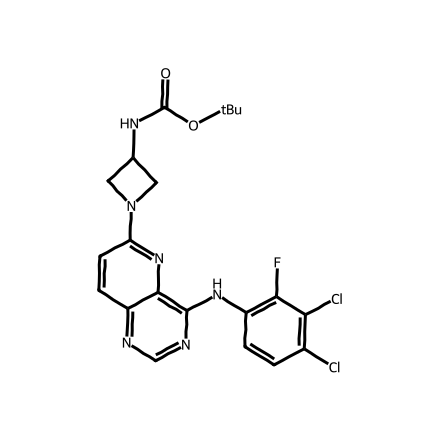 CC(C)(C)OC(=O)NC1CN(c2ccc3ncnc(Nc4ccc(Cl)c(Cl)c4F)c3n2)C1